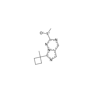 C[S+]([O-])c1ncc2cnc(C3(C)CCC3)n2n1